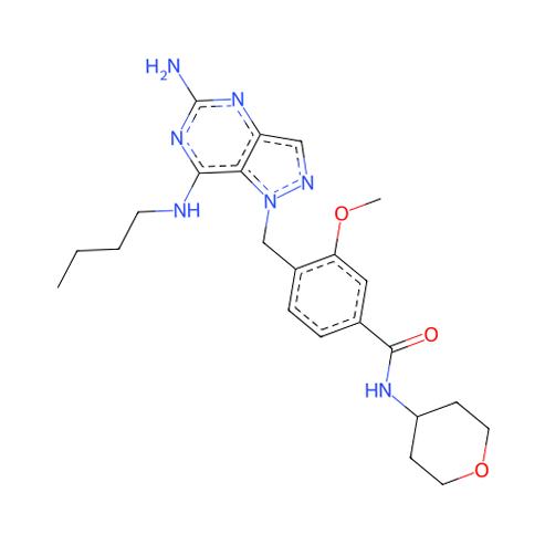 CCCCNc1nc(N)nc2cnn(Cc3ccc(C(=O)NC4CCOCC4)cc3OC)c12